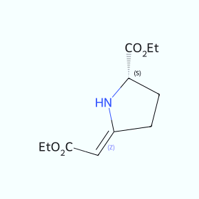 CCOC(=O)/C=C1/CC[C@@H](C(=O)OCC)N1